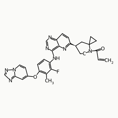 C=CC(=O)N1CC[C@@H](c2ccc3ncnc(Nc4ccc(Oc5ccn6ncnc6c5)c(C)c4F)c3n2)CC12CC2